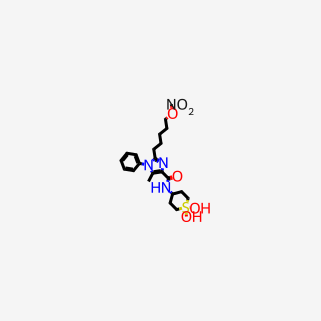 Cc1c(C(=O)NC2CCS(O)(O)CC2)nc(CCCCCO[N+](=O)[O-])n1-c1ccccc1